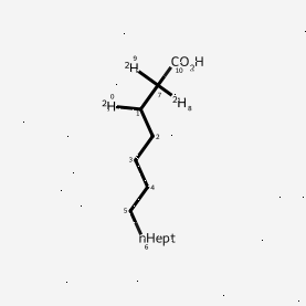 [2H]C(CCCCCCCCCCC)C([2H])([2H])C(=O)O